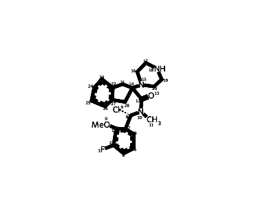 COc1c(F)cccc1[C@H](Cl)N(C)C(=O)C1(N2CCNCC2)Cc2ccccc2C1